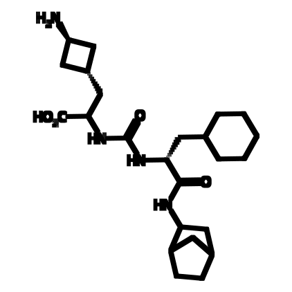 N[C@H]1C[C@H](CC(NC(=O)N[C@H](CC2CCCCC2)C(=O)NC2CC3CCC2C3)C(=O)O)C1